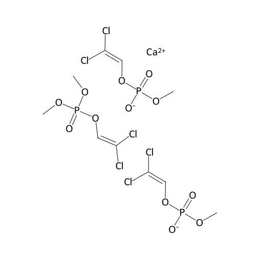 COP(=O)(OC)OC=C(Cl)Cl.COP(=O)([O-])OC=C(Cl)Cl.COP(=O)([O-])OC=C(Cl)Cl.[Ca+2]